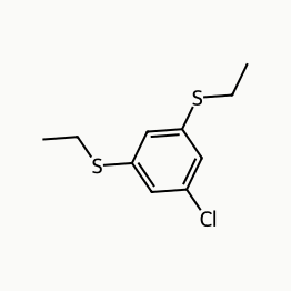 CCSc1cc(Cl)cc(SCC)c1